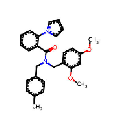 COc1ccc(CN(Cc2ccc(C)cc2)C(=O)c2ccccc2-n2cccc2)c(OC)c1